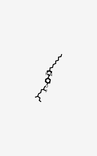 CCCCCCCCCc1cnc(-c2ccc(OCC(F)CCCC(C)CCC)cc2)nc1